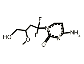 COC(CO)CC(F)(F)n1ccc(N)nc1=O